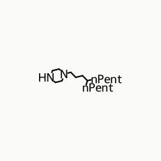 CCCCCC(CCCCC)CCCN1CCNCC1